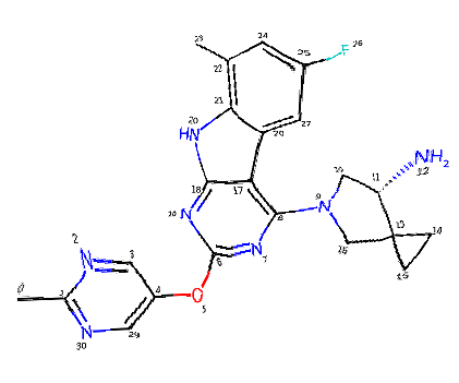 Cc1ncc(Oc2nc(N3C[C@H](N)C4(CC4)C3)c3c(n2)[nH]c2c(C)cc(F)cc23)cn1